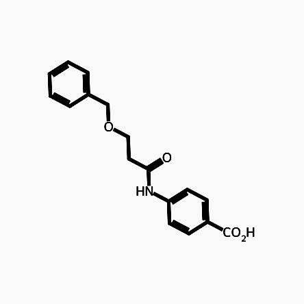 O=C(CCOCc1ccccc1)Nc1ccc(C(=O)O)cc1